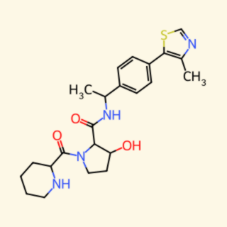 Cc1ncsc1-c1ccc(C(C)NC(=O)C2C(O)CCN2C(=O)C2CCCCN2)cc1